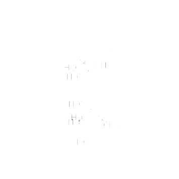 C[C@@H](CO)[C@@]1(C)CC[C@@H](CCC(C)(C)[Si](O)(c2ccccc2)c2ccccc2)C1(C)C